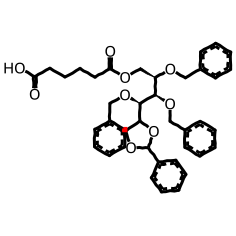 O=C(O)CCCCC(=O)OC[C@@H](OCc1ccccc1)[C@@H](OCc1ccccc1)[C@H](OCc1ccccc1)C1COC(c2ccccc2)O1